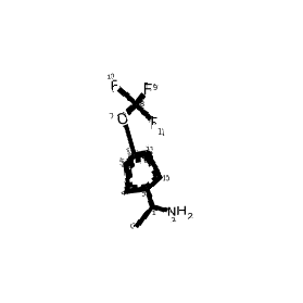 CC(N)c1ccc(OC(F)(F)F)cc1